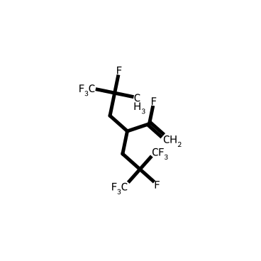 C=C(F)C(CC(C)(F)C(F)(F)F)CC(F)(C(F)(F)F)C(F)(F)F